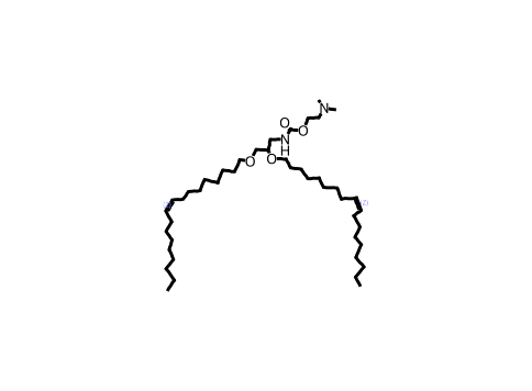 CCCCCCCC/C=C\CCCCCCCCOCC(CNC(=O)OCCN(C)C)OCCCCCCCC/C=C\CCCCCCCC